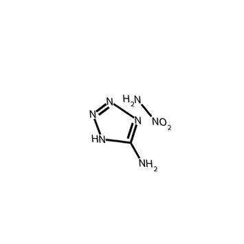 N[N+](=O)[O-].Nc1nnn[nH]1